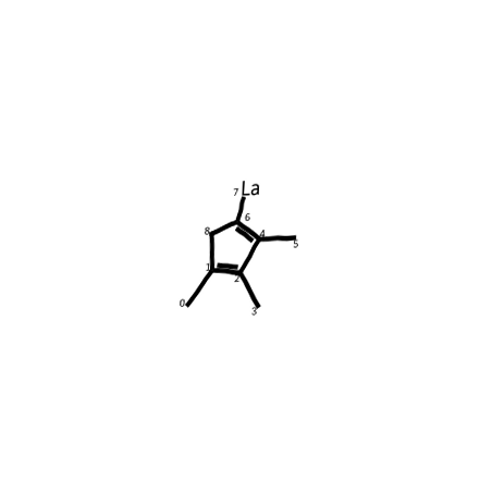 CC1=C(C)C(C)=[C]([La])C1